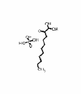 CCCCCCCCCC(=O)C(O)O.O=P(O)(O)O